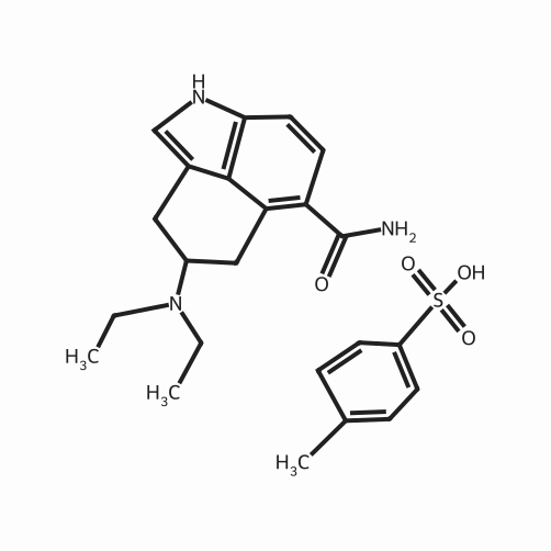 CCN(CC)C1Cc2c[nH]c3ccc(C(N)=O)c(c23)C1.Cc1ccc(S(=O)(=O)O)cc1